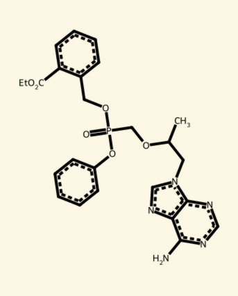 CCOC(=O)c1ccccc1COP(=O)(COC(C)Cn1cnc2c(N)ncnc21)Oc1ccccc1